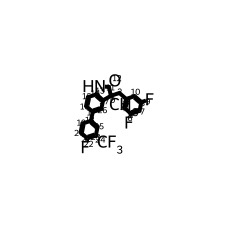 CC1(Cc2cc(F)cc(F)c2)C(=O)Nc2ccc(-c3ccc(F)c(C(F)(F)F)c3)cc21